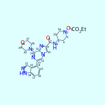 CCOC(=O)ON1CCC(NC(=O)c2cn3cc(-c4cccc5[nH]ncc45)nc(N4CCOCC4)c3n2)CC1